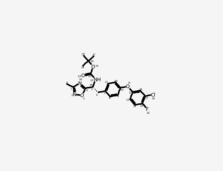 Cc1noc([C@@H](Cc2ccc(Oc3ccc(F)c(Cl)c3)cc2)NC(=O)OC(C)(C)C)n1